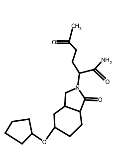 CC(=O)CCC(C(N)=O)N1CC2CC(OC3CCCC3)CCC2C1=O